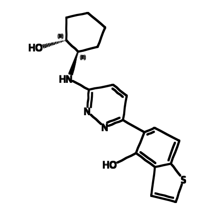 Oc1c(-c2ccc(N[C@@H]3CCCC[C@H]3O)nn2)ccc2sccc12